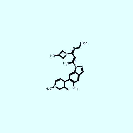 COC/N=C(\C=C(/N)n1ncc2cc(C)c(C3C=CN(C)CC3F)cc21)N1CC(O)C1